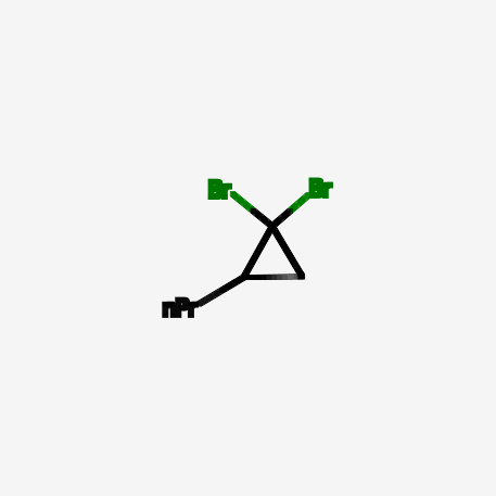 CCCC1CC1(Br)Br